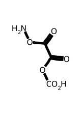 NOC(=O)C(=O)OC(=O)O